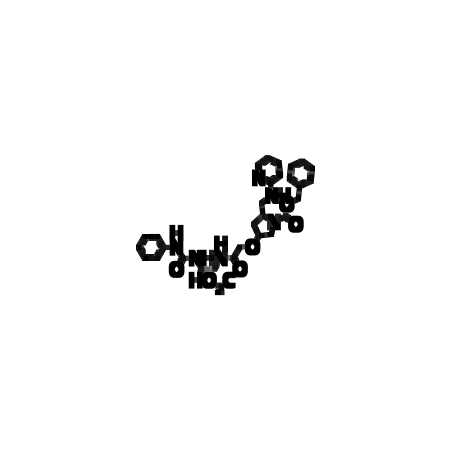 O=C(COC1CC(CNc2ccccn2)N(C(=O)OCc2ccccc2)C1)NCC(NC(=O)Nc1ccccc1)C(=O)O